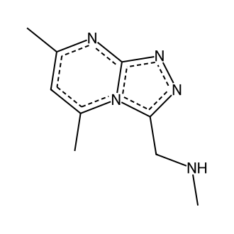 CNCc1nnc2nc(C)cc(C)n12